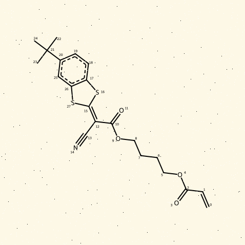 C=CC(=O)OCCCCOC(=O)/C(C#N)=C1\Sc2ccc(C(C)(C)C)cc2S1